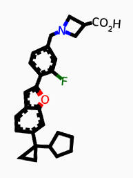 O=C(O)C1CN(Cc2ccc(-c3cc4ccc(C5(C6CCCC6)CC5)cc4o3)c(F)c2)C1